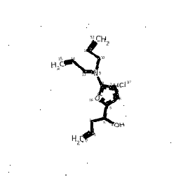 C=CCC(O)c1ccc(N(CC=C)CC=C)o1.Cl